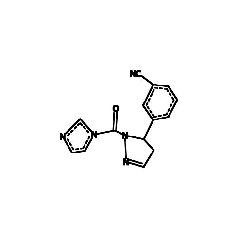 N#Cc1cccc(C2CC=NN2C(=O)n2ccnc2)c1